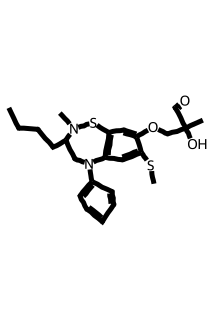 CCCCC1CN(c2ccccc2)c2cc(SC)c(OCC(C)(O)C=O)cc2SN1C